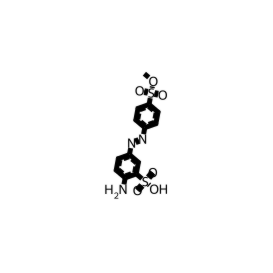 COS(=O)(=O)c1ccc(/N=N/c2ccc(N)c(S(=O)(=O)O)c2)cc1